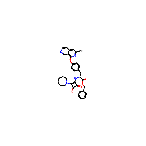 Cc1cc2ccncc2c(Oc2ccc(C[C@H](Nc3c(N4CCCCCC4)c(=O)c3=O)C(=O)OCc3ccccc3)cc2)n1